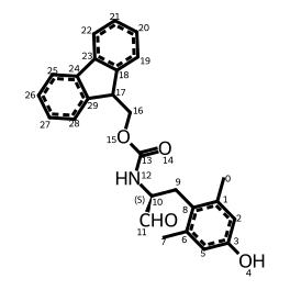 Cc1cc(O)cc(C)c1C[C@@H](C=O)NC(=O)OCC1c2ccccc2-c2ccccc21